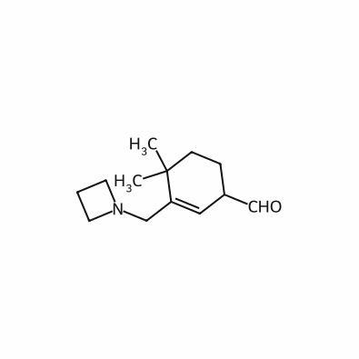 CC1(C)CCC(C=O)C=C1CN1CCC1